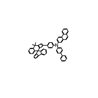 CC1(C)c2ccccc2C2(c3ccccc3-c3ccccc32)c2cc(-c3ccc(N(c4ccc(-c5ccccc5)cc4)c4ccc5c(ccc6ccccc65)c4)cc3)ccc21